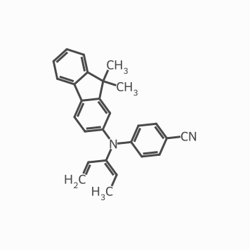 C=C/C(=C\C)N(c1ccc(C#N)cc1)c1ccc2c(c1)C(C)(C)c1ccccc1-2